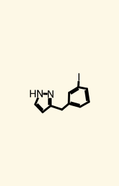 Ic1cccc(Cc2cc[nH]n2)c1